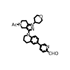 CC(=O)N1CCc2c(c(N3CCCc4cc(-c5ccc(C=O)nc5)ccc43)nn2C2CCOCC2)C1